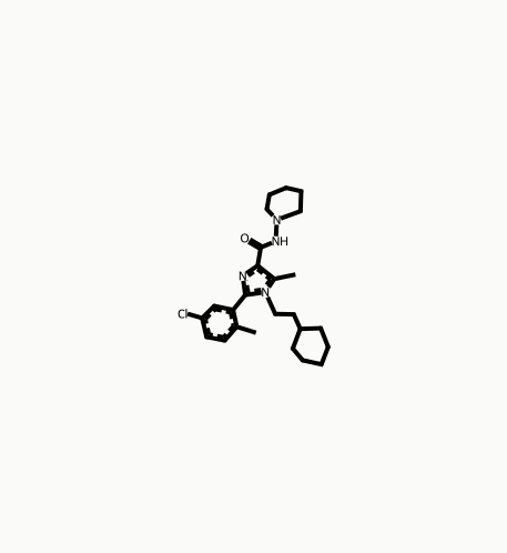 Cc1ccc(Cl)cc1-c1nc(C(=O)NN2CCCCC2)c(C)n1CCC1CCCCC1